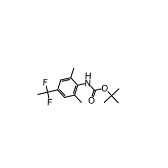 Cc1cc(C(C)(F)F)cc(C)c1NC(=O)OC(C)(C)C